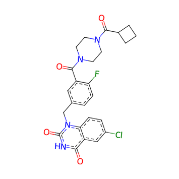 O=C(c1cc(Cn2c(=O)[nH]c(=O)c3cc(Cl)ccc32)ccc1F)N1CCN(C(=O)C2CCC2)CC1